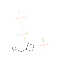 FC(F)(F)CC1CCC1.F[B-](F)(F)F.F[B-](F)(F)F.F[B-](F)(F)F